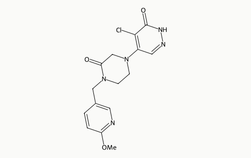 COc1ccc(CN2CCN(c3cn[nH]c(=O)c3Cl)CC2=O)cn1